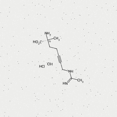 CC(=N)NCC#CCC[C@](C)(N)C(=O)O.Cl.Cl